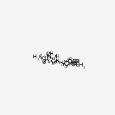 CCOC(=O)C(Cc1ccc(NCCCC2CCc3cc(OS(C)(=O)=O)ccc3C2)cc1)OCC